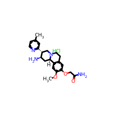 COc1cc2c(cc1OCC(N)=O)CCN1C[C@@H](c3cc(C)ccn3)[C@H](N)C[C@H]21.Cl